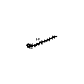 CCCCCCCCCCCCCCCCCCNC(C)(C)c1ccccc1.I